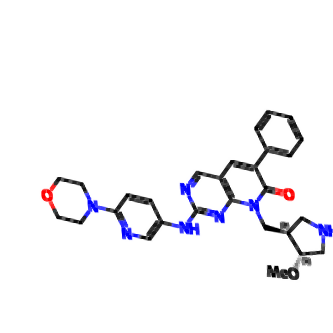 CO[C@H]1CNC[C@@H]1Cn1c(=O)c(-c2ccccc2)cc2cnc(Nc3ccc(N4CCOCC4)nc3)nc21